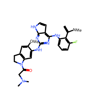 C=C(NC)c1c(F)cccc1Nc1nc(Nc2cc3c(cc2OC)CCN3C(=O)CN(C)C)nc2[nH]ccc12